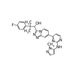 Cn1nccc1Nc1nccc(-c2ccn3c(C(O)C(C)(C)c4ccc(F)cc4)nnc3c2)n1